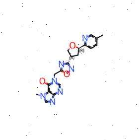 Cc1ccc([C@H]2C[C@H](c3noc(Cn4cnc5ncn(C)c5c4=O)n3)CO2)nc1